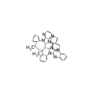 C=C1CC2(C)c3ccccc3N3c4nc5ccccc5nc4N(c4ccccc4)C3C2C2N(c3ccccc3)c3nccnc3N2c2ccccc21